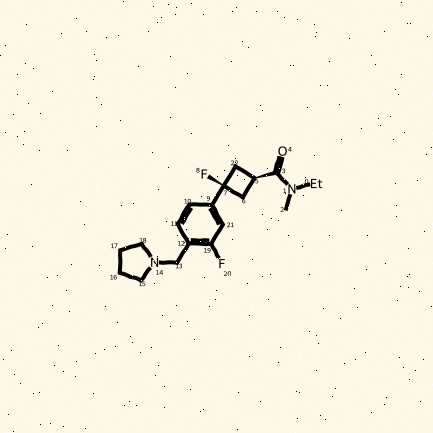 CCN(C)C(=O)[C@H]1C[C@](F)(c2ccc(CN3CCCC3)c(F)c2)C1